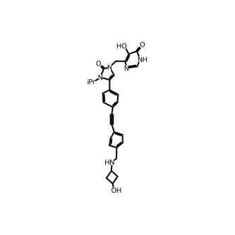 CC(C)n1c(-c2ccc(C#Cc3ccc(CNC4CC(O)C4)cc3)cc2)cn(Cc2nc[nH]c(=O)c2O)c1=O